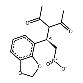 CC(=O)C(C(C)=O)[C@@H](C[N+](=O)[O-])c1cccc2c1OCO2